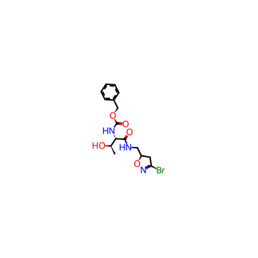 C[C@@H](O)[C@H](NC(=O)OCc1ccccc1)C(=O)NCC1CC(Br)=NO1